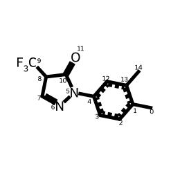 Cc1ccc(N2N=CC(C(F)(F)F)C2=O)cc1C